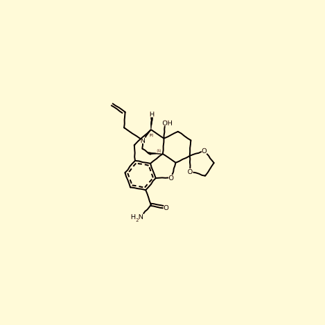 C=CCN1CC[C@]23c4c5ccc(C(N)=O)c4OC2C2(CCC3(O)[C@H]1C5)OCCO2